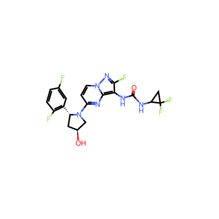 O=C(Nc1c(F)nn2ccc(N3C[C@@H](O)C[C@@H]3c3cc(F)ccc3F)nc12)NC1CC1(F)F